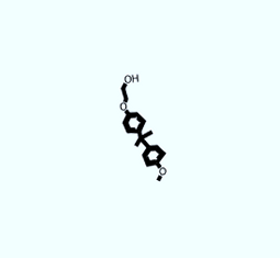 COc1ccc(C(C)(C)c2ccc(OCCO)cc2)cc1